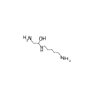 NCCCCCNC(O)CN